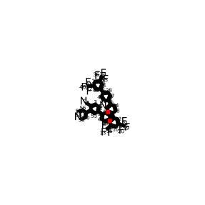 N#Cc1cc(-n2c3cc(-c4cc(C(F)(F)F)cc(C(F)(F)F)c4)ccc3c3ccc(-c4cc(C(F)(F)F)cc(C(F)(F)F)c4)cc32)c(-c2ccccc2)cc1-c1ccncc1